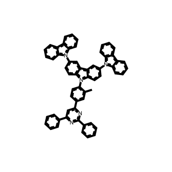 Cc1cc(-c2cc(-c3ccccc3)nc(-c3ccccc3)n2)ccc1-n1c2ccc(-n3c4ccccc4c4ccccc43)cc2c2cc(-n3c4ccccc4c4ccccc43)ccc21